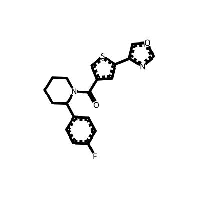 O=C(c1csc(-c2cocn2)c1)N1CCCCC1c1ccc(F)cc1